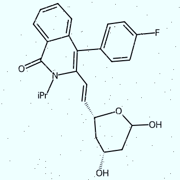 CC(C)n1c(/C=C/[C@H]2C[C@@H](O)CC(O)O2)c(-c2ccc(F)cc2)c2ccccc2c1=O